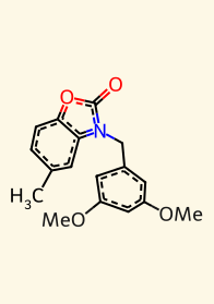 COc1cc(Cn2c(=O)oc3ccc(C)cc32)cc(OC)c1